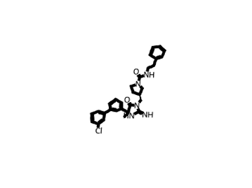 CC1(c2cccc(-c3cccc(Cl)c3)c2)NC(=N)N(C[C@H]2CCN(C(=O)NCCc3ccccc3)C2)C1=O